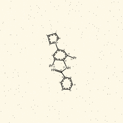 CC(C)c1cc(-n2cccc2)cc(C(C)C)c1NC(=N)c1ccccc1